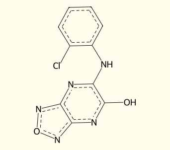 Oc1nc2nonc2nc1Nc1ccccc1Cl